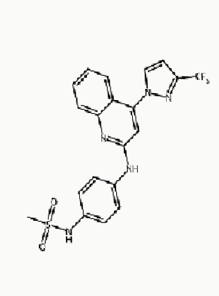 CS(=O)(=O)Nc1ccc(Nc2cc(-n3ccc(C(F)(F)F)n3)c3ccccc3n2)cc1